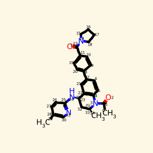 CC(=O)N1c2ccc(-c3ccc(C(=O)N4CCCC4)cc3)cc2[C@H](Nc2ccc(C)cn2)C[C@@H]1C